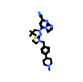 CN1CCC(c2ccc(CN3CCSC3=NN(CC(C)(C)C)c3cc(C#N)nc4nccn34)cc2)CC1